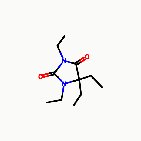 CCN1C(=O)N(CC)C(CC)(CC)C1=O